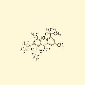 CC[O][AlH][CH](c1cc(C)cc(C(C)(C)C)c1O)c1cc(C)cc(C(C)(C)C)c1O